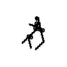 CCCCCCCC/C=C\CCCCCCCC(=O)OCC(COC(=O)CCCCCCC(=O)OC(CCCCCC)CCCCCCCC)CN(CCCN1CCCC1)C(=O)CCCCCCC